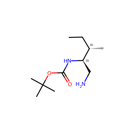 CC[C@H](C)[C@@H](CN)NC(=O)OC(C)(C)C